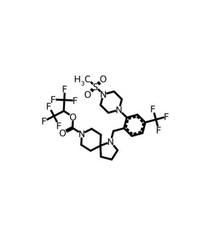 CS(=O)(=O)N1CCN(c2cc(C(F)(F)F)ccc2CN2CCCC23CCN(C(=O)OC(C(F)(F)F)C(F)(F)F)CC3)CC1